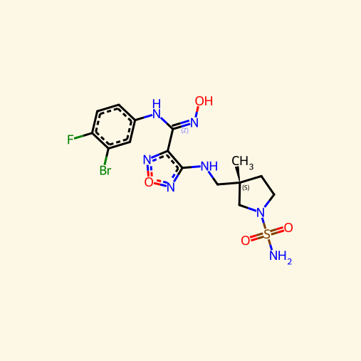 C[C@@]1(CNc2nonc2/C(=N/O)Nc2ccc(F)c(Br)c2)CCN(S(N)(=O)=O)C1